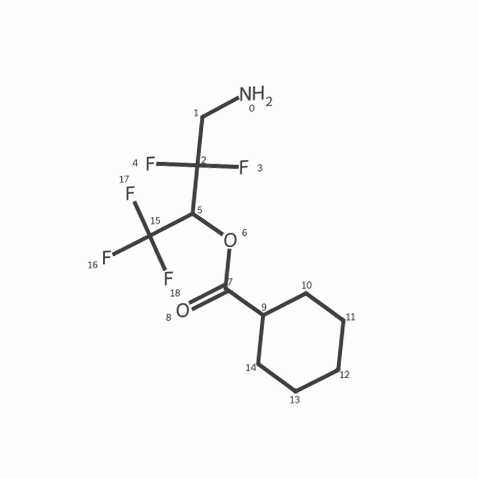 NCC(F)(F)C(OC(=O)C1CCCCC1)C(F)(F)F